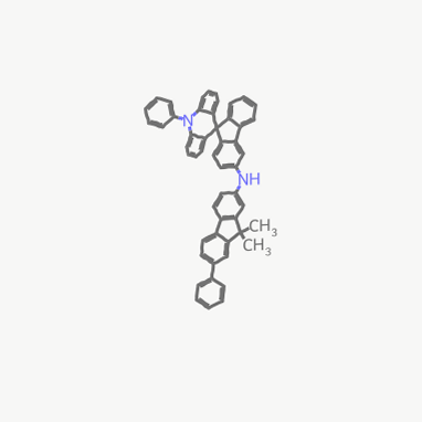 CC1(C)c2cc(Nc3ccc4c(c3)-c3ccccc3C43c4ccccc4N(c4ccccc4)c4ccccc43)ccc2-c2ccc(-c3ccccc3)cc21